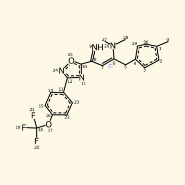 Cc1ccc(C/C(=C/C(=N)c2nc(-c3ccc(OC(F)(F)F)cc3)no2)N(C)C)cc1